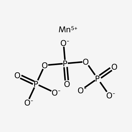 O=P([O-])([O-])OP(=O)([O-])OP(=O)([O-])[O-].[Mn+5]